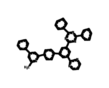 Cc1cc(-c2ccccc2)cc(-c2ccc(-c3cc(-c4ncccn4)cc(-c4nc(-c5ccccc5)nc(-c5ccccc5)n4)c3)cc2)n1